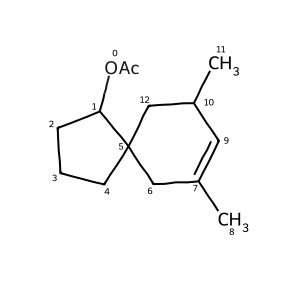 CC(=O)OC1CCCC12CC(C)=CC(C)C2